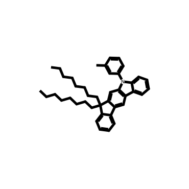 CCCCCCCCC1(CCCCCCCC)c2ccccc2-c2cc3c4ccccc4n(-c4cccc(C)c4)c3cc21